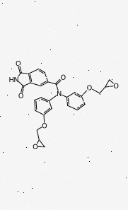 O=C1NC(=O)c2cc(C(=O)N(c3cccc(OCC4CO4)c3)c3cccc(OCC4CO4)c3)ccc21